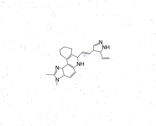 C=CC1NN=CC1/C=C/C1NC2=C(C3=C1CCCC3)C1N=C(C)N(C)C1C=C2